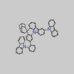 C1=CC2c3ccccc3N(c3ccccc3-c3ccc4c(c3)-n3c5ccc(-n6c7ccccc7c7ccccc76)cc5c5cccc(c53)C43C4CC5CC(C4)CC3C5)C2C=C1